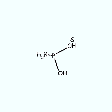 NP(O)O.[S]